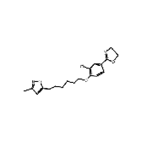 Cc1cc(CCCCCCOc2ccc(C3=NCCO3)cc2Cl)on1